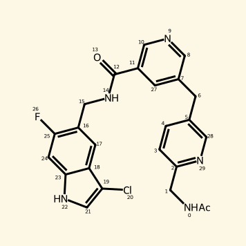 CC(=O)NCc1ccc(Cc2cncc(C(=O)NCc3cc4c(Cl)c[nH]c4cc3F)c2)cn1